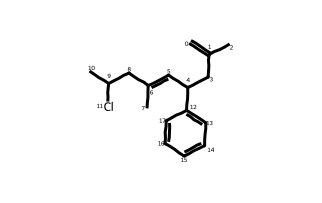 C=C(C)CC(C=C(C)CC(C)Cl)c1ccccc1